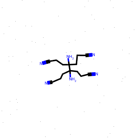 N#CCCC(N)(CCC#N)C(N)(CCC#N)CCC#N